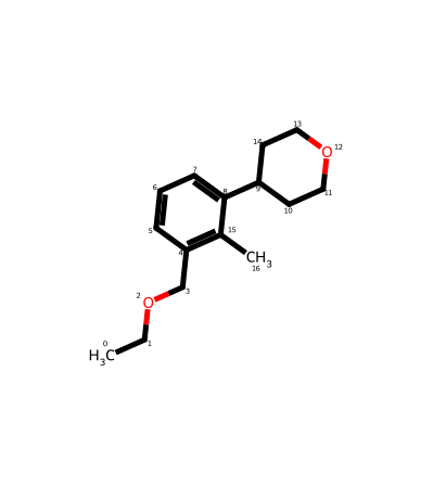 CCOCc1cccc(C2CCOCC2)c1C